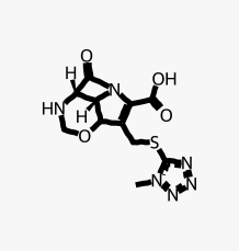 Cn1nnnc1SCC1=C(C(=O)O)N2C(=O)[C@H]3NCOC1[C@H]32